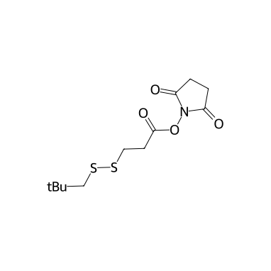 CC(C)(C)CSSCCC(=O)ON1C(=O)CCC1=O